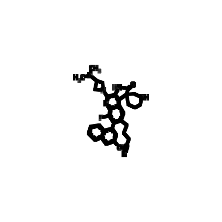 CN(C)C1CN(c2nc3c(F)c(-c4cc(O)cc5ccccc45)c(CCCC#N)cc3c3c2NC(=O)C32CCCNC2)C1